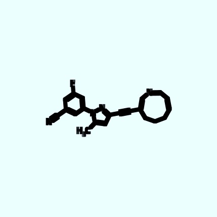 Cc1cc(C#C/C2=C/N=C\C=C/CCC2)nn1-c1cc(F)cc(C#N)c1